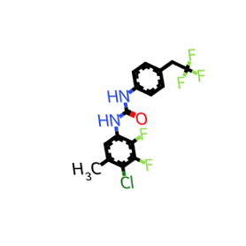 Cc1cc(NC(=O)Nc2ccc(CC(F)(F)F)cc2)c(F)c(F)c1Cl